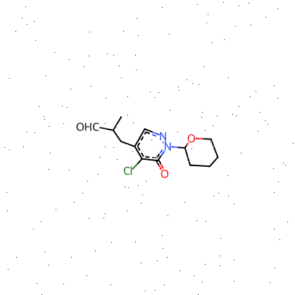 CC(C=O)Cc1cnn(C2CCCCO2)c(=O)c1Cl